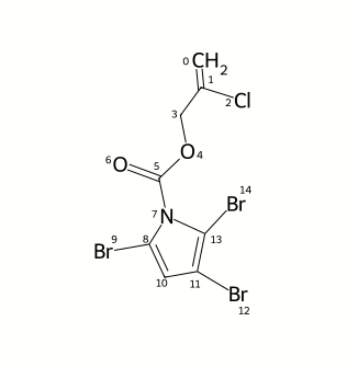 C=C(Cl)COC(=O)n1c(Br)cc(Br)c1Br